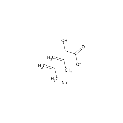 C=CC.C=CC.O=C([O-])CO.[Na+]